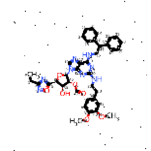 CCc1noc([C@H]2O[C@@H](n3cnc4c(NCC(c5ccccc5)c5ccccc5)nc(NCCc5ccc(OC)c(OC)c5)nc43)[C@H](OC=O)[C@@H]2O)n1